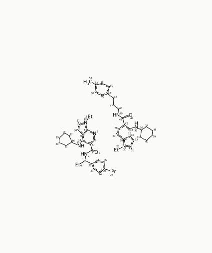 CCC(NC(=O)c1cnc2c(cnn2CC)c1NC1CCCCC1)c1ccc(C(C)C)cc1.CCn1ncc2c(NC3CCCCC3)c(C(=O)NCCCc3ccc(C)cc3)cnc21